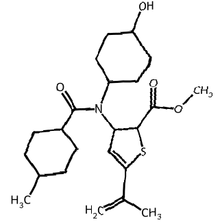 C=C(C)C1=CC(N(C(=O)C2CCC(C)CC2)C2CCC(O)CC2)C(C(=O)OC)S1